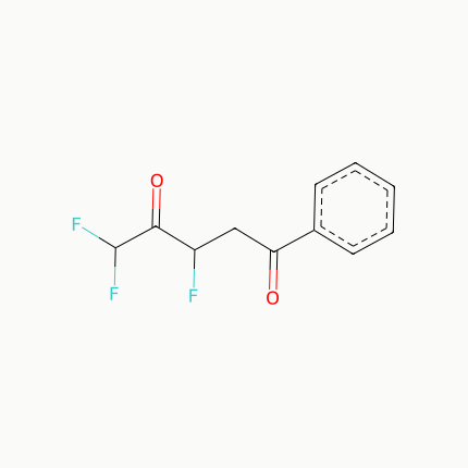 O=C(CC(F)C(=O)C(F)F)c1ccccc1